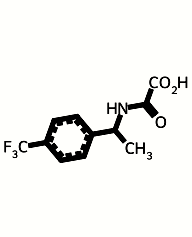 CC(NC(=O)C(=O)O)c1ccc(C(F)(F)F)cc1